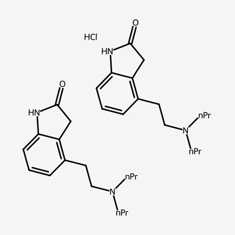 CCCN(CCC)CCc1cccc2c1CC(=O)N2.CCCN(CCC)CCc1cccc2c1CC(=O)N2.Cl